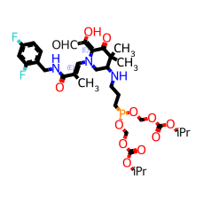 C/C(=C\N1CC(NCCCP(OCOC(=O)OC(C)C)OCOC(=O)OC(C)C)C(C)(C)C(=O)/C1=C(\O)C=O)C(=O)NCc1ccc(F)cc1F